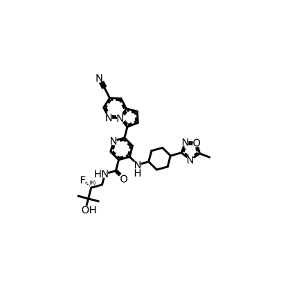 Cc1nc(C2CCC(Nc3cc(-c4ccc5cc(C#N)cnn45)ncc3C(=O)NC[C@@H](F)C(C)(C)O)CC2)no1